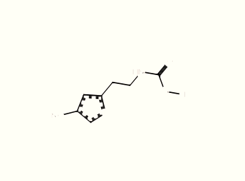 CC(C)(C)OC(=O)NCCc1cc(C#N)cs1